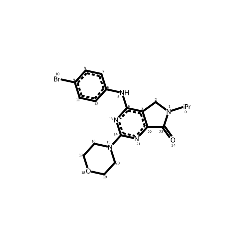 CC(C)N1Cc2c(Nc3ccc(Br)cc3)nc(N3CCOCC3)nc2C1=O